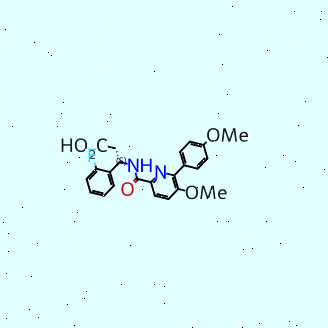 COc1ccc(-c2nc(C(=O)N[C@@H](CC(=O)O)c3ccccc3F)ccc2OC)cc1